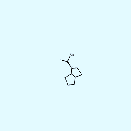 CC(C#N)[C@H]1CCC2CCCC21